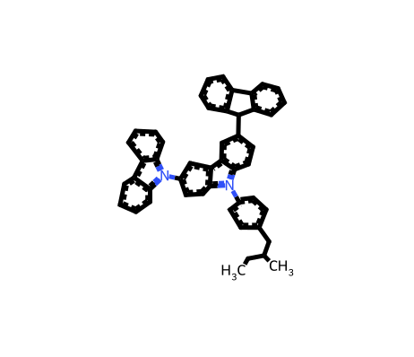 CCC(C)Cc1ccc(-n2c3ccc(C4c5ccccc5-c5ccccc54)cc3c3cc(-n4c5ccccc5c5ccccc54)ccc32)cc1